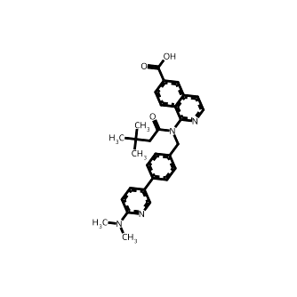 CN(C)c1ccc(-c2ccc(CN(C(=O)CC(C)(C)C)c3nccc4cc(C(=O)O)ccc34)cc2)cn1